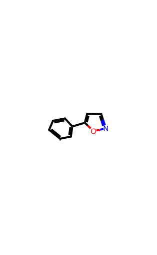 [c]1cccc(-c2ccno2)c1